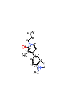 CC(=O)N1CCc2cc(-c3ccn(CCC(C)C)c(=O)c3C#N)ccc21